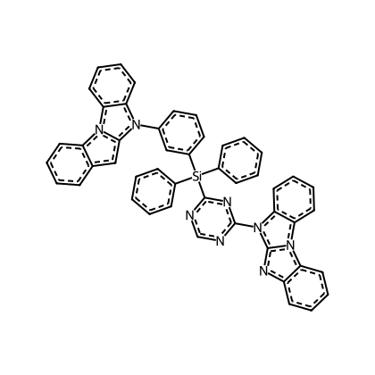 c1ccc([Si](c2ccccc2)(c2cccc(-n3c4ccccc4n4c5ccccc5cc34)c2)c2ncnc(-n3c4ccccc4n4c5ccccc5nc34)n2)cc1